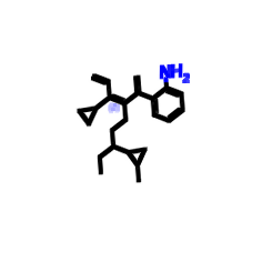 C=C/C(=C(/CCC(CC)C1CC1C)C(=C)c1ccccc1N)C1CC1